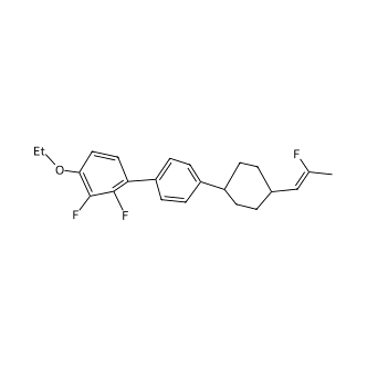 CCOc1ccc(-c2ccc(C3CCC(/C=C(/C)F)CC3)cc2)c(F)c1F